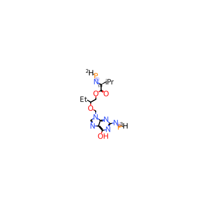 [2H]/P=N/[C@H](C(=O)OCC(CC)OCn1cnc2c(O)nc(/N=P/[3H])nc21)C(C)C